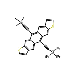 CC(C)[Si](C#Cc1c2cc3ccsc3cc2c(C#C[Si](C)(C)C)c2cc3ccsc3cc12)(C(C)C)C(C)C